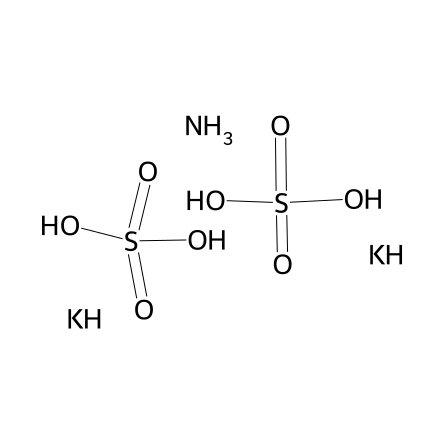 N.O=S(=O)(O)O.O=S(=O)(O)O.[KH].[KH]